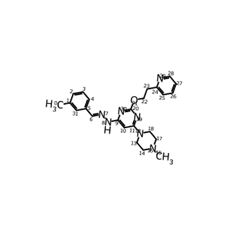 Cc1cccc(/C=N/Nc2cc(N3CCN(C)CC3)nc(OCCc3ccccn3)n2)c1